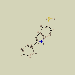 CSc1ccc2[nH]c(-c3ccccc3)cc2c1